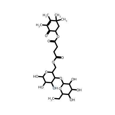 CCC1OC(OC2C(COC(=O)CCC(=O)OC3CC(C)(C)C(C)=C(C)C3=O)OC(O)C(O)C2O)C(O)C(O)C1O